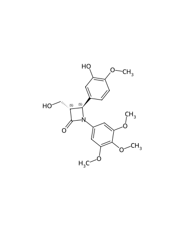 COc1ccc([C@@H]2[C@@H](CO)C(=O)N2c2cc(OC)c(OC)c(OC)c2)cc1O